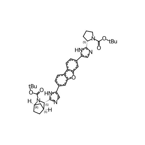 CC(C)(C)OC(=O)N1CCC[C@H]1c1ncc(-c2ccc3c(c2)oc2cc(-c4cnc([C@@H]5[C@H]6CC[C@H](C6)N5C(=O)OC(C)(C)C)[nH]4)ccc23)[nH]1